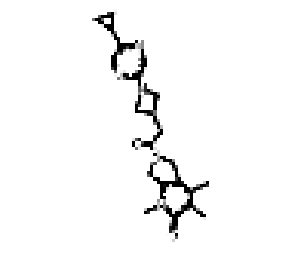 Cc1c2c(n(C)c(=O)c1C)CN(C(=O)CC1CN(c3cnc(C4CC4)cn3)C1)C2